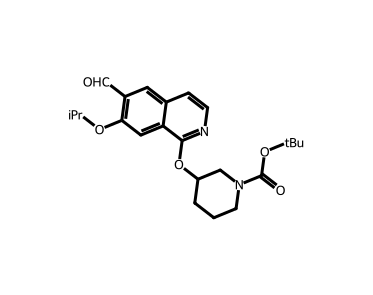 CC(C)Oc1cc2c(OC3CCCN(C(=O)OC(C)(C)C)C3)nccc2cc1C=O